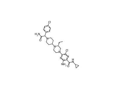 CC[C@H]1CN(c2nc(N)c(C(=O)NC3CC3)nc2Cl)CCN1C1CCN(C(C(N)=O)c2ccc(Cl)cc2)CC1